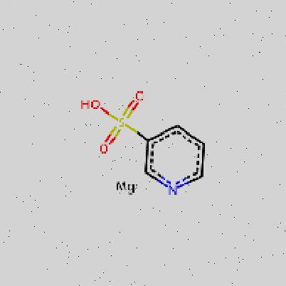 O=S(=O)(O)c1cccnc1.[Mg]